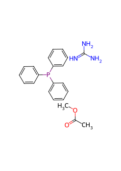 COC(C)=O.N=C(N)N.c1ccc(P(c2ccccc2)c2ccccc2)cc1